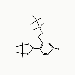 CC1(C)OB(c2ccc(F)cc2CO[Si](C)(C)C(C)(C)C)OC1(C)C